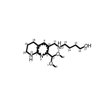 COC(OC)c1nc2c(cc1CNCCCCO)CCCN2